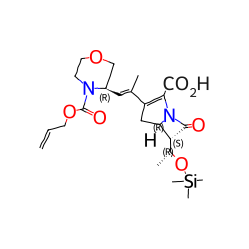 C=CCOC(=O)N1CCOC[C@H]1C=C(C)C1=C(C(=O)O)N2C(=O)[C@H]([C@@H](C)O[Si](C)(C)C)[C@H]2C1